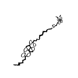 CCCCCCC(=O)O[C@@H]1COC2C1OC[C@@H]2OC(=O)CCCCCCCCCCSCCOP(=O)(OCC)OCC